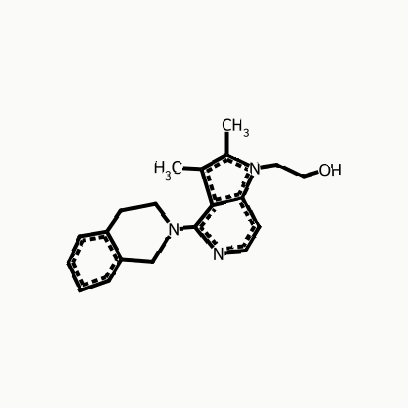 Cc1c(C)n(CCO)c2ccnc(N3CCc4ccccc4C3)c12